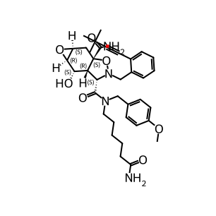 COc1ccc(CN(CCCCCC(N)=O)C(=O)[C@@H]2[C@@H]3[C@H](O)[C@H]4O[C@H]4C[C@]3(C(N)=O)ON2Cc2ccccc2C#CC(C)(C)C)cc1